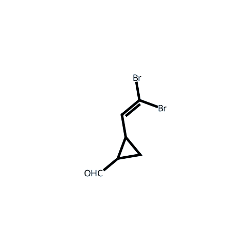 O=CC1CC1C=C(Br)Br